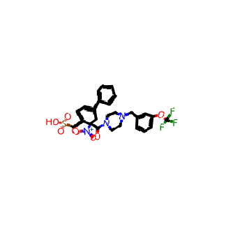 O=C(N1CCN(Cc2cccc(OC(F)(F)F)c2)CC1)C1([N+](=O)[O-])CC(c2ccccc2)=CC=C1CS(=O)(=O)O